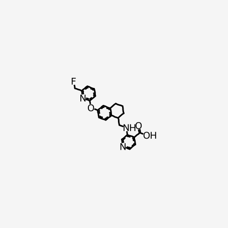 O=C(O)c1ccncc1NCC1CCCc2cc(Oc3cccc(CF)n3)ccc21